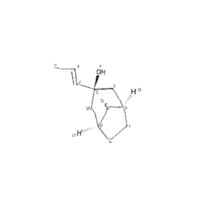 C/C=C/[C@]1(O)C[C@H]2CC[C@@H](C1)S2